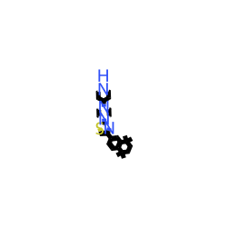 CC1(C)CCC(C)(C)c2cc(-c3csc(N4CCN(C5CCNCC5)CC4)n3)ccc21